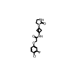 O=C(COc1ccc(Cl)c(F)c1)NC12CC(N3CCNC3=O)(C1)C2